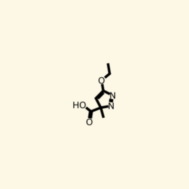 CCOC1=CC(C)(C(=O)O)N=N1